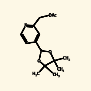 CC(=O)OCc1cc(B2OC(C)(C)C(C)(C)O2)ccn1